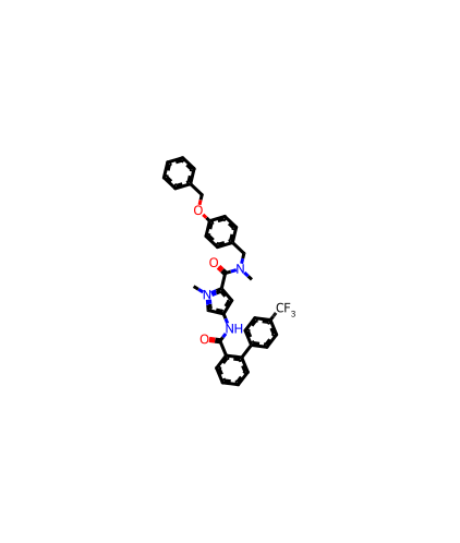 CN(Cc1ccc(OCc2ccccc2)cc1)C(=O)c1cc(NC(=O)c2ccccc2-c2ccc(C(F)(F)F)cc2)cn1C